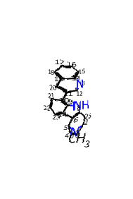 CN1C2CCC1c1c([nH]c3c(-c4cnc5ccccc5c4)cccc13)C2